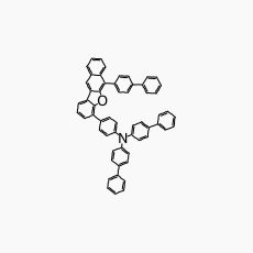 c1ccc(-c2ccc(-c3c4ccccc4cc4c3oc3c(-c5ccc(N(c6ccc(-c7ccccc7)cc6)c6ccc(-c7ccccc7)cc6)cc5)cccc34)cc2)cc1